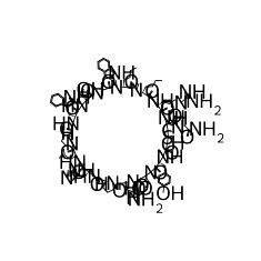 CCCC[C@H]1C(=O)N(C)[C@@H](CCCC)C(=O)N[C@@H](CCCNC(=N)N)C(=O)NC(C(=O)NCC(N)=O)CSCC(=O)N[C@@H](Cc2ccc(O)cc2)C(=O)N(C)[C@@H](CO)C(=O)N[C@@H](CC(N)=O)C(=O)N2CCC[C@H]2C(=O)N[C@@H](Cc2cnc[nH]2)C(=O)N[C@@H](CC(C)C)C(=O)N2CCC[C@H]2C(=O)N[C@@H](Cc2c[nH]c3ccccc23)C(=O)N[C@@H](CO)C(=O)N[C@@H](Cc2c[nH]c3ccccc23)C(=O)N1C